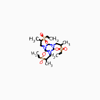 C=CS(=O)(=O)C(C)CN1CN(CC(C)S(=O)(=O)C=C)CN(CC(C)S(=O)(=O)C=C)C1